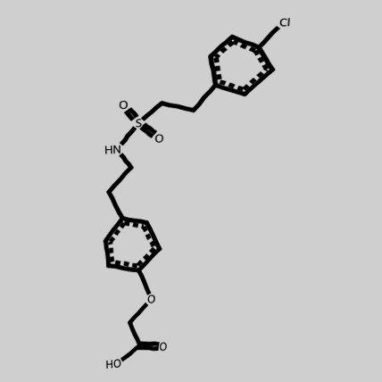 O=C(O)COc1ccc(CCNS(=O)(=O)CCc2ccc(Cl)cc2)cc1